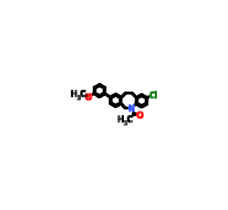 COc1cccc(-c2ccc3c(c2)CCc2cc(Cl)ccc2N(C(C)=O)C3)c1